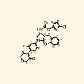 Cc1cc(N2C[C@H](NC(=O)Oc3ccc(Cl)s3)[C@@H](Cc3ccccc3)C2=O)ccc1N1CCOCC1=O